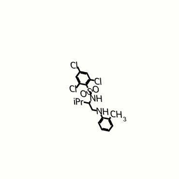 Cc1ccccc1NCC(NS(=O)(=O)c1c(Cl)cc(Cl)cc1Cl)C(C)C